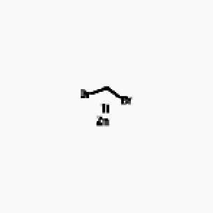 BrCBr.[Ti].[Zn]